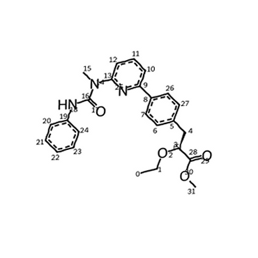 CCO[C@@H](Cc1ccc(-c2cccc(N(C)C(=O)Nc3ccccc3)n2)cc1)C(=O)OC